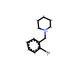 CC(=O)c1ccccc1CN1CCCCC1